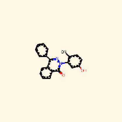 O=Nc1ccc(O)cc1-n1nc(-c2ccccc2)c2ccccc2c1=O